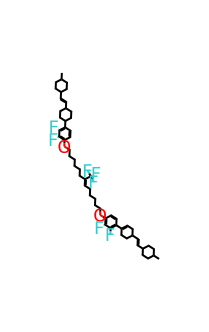 CC1CCC(/C=C/C2CC=C(c3ccc(OCCCCC/C=C(/CCCCCCOc4ccc(C5CCC(/C=C/C6CCC(C)CC6)CC5)c(F)c4F)C(F)(F)F)c(F)c3F)CC2)CC1